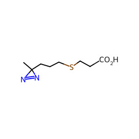 CC1(CCCSCCC(=O)O)N=N1